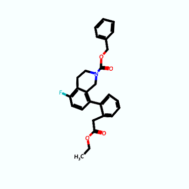 CCOC(=O)Cc1ccccc1-c1ccc(F)c2c1CN(C(=O)OCc1ccccc1)CC2